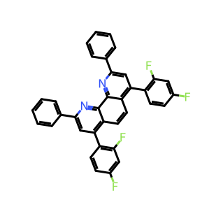 Fc1ccc(-c2cc(-c3ccccc3)nc3c2ccc2c(-c4ccc(F)cc4F)cc(-c4ccccc4)nc23)c(F)c1